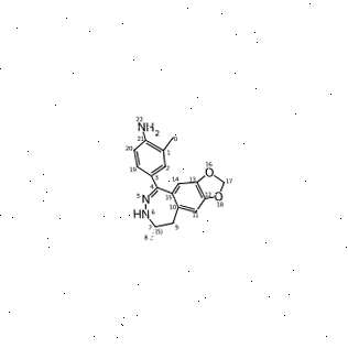 Cc1cc(C2=NN[C@@H](C)Cc3cc4c(cc32)OCO4)ccc1N